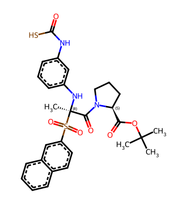 CC(C)(C)OC(=O)[C@@H]1CCCN1C(=O)[C@](C)(Nc1cccc(NC(=O)S)c1)S(=O)(=O)c1ccc2ccccc2c1